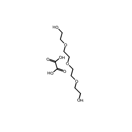 O=C(O)C(=O)O.OCCOCCOCCOCCO